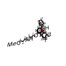 COCCCNCCCOc1ccc(CN2C3CCC2CC(NC(=O)c2ccc(F)c(Cl)c2)C3)c(C)c1C